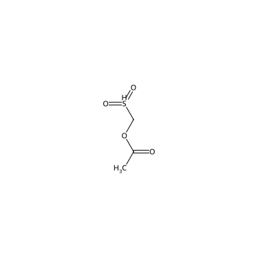 CC(=O)OC[SH](=O)=O